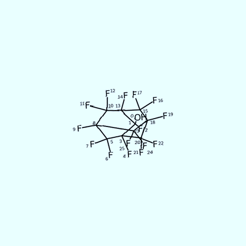 OC1(F)C2(F)C(F)(F)C3(F)C(F)(F)C1(F)C(F)(F)C(F)(C2(F)F)C3(F)F